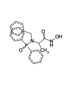 CC(C(=O)NO)N(Cc1ccccc1)P(=O)(c1ccccc1)c1ccccc1